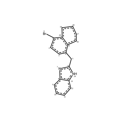 Brc1ccc(Cc2nc3ccccc3[nH]2)c2ccccc12